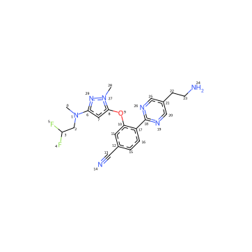 CN(CC(F)F)c1cc(Oc2cc(C#N)ccc2-c2ncc(CCN)cn2)n(C)n1